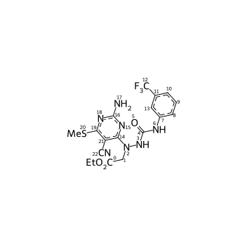 CCOC(=O)CN(NC(=O)Nc1cccc(C(F)(F)F)c1)c1nc(N)nc(SC)c1C#N